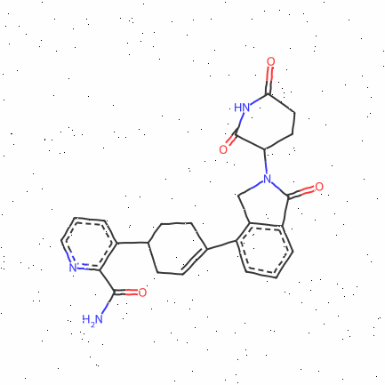 NC(=O)c1ncccc1C1CC=C(c2cccc3c2CN(C2CCC(=O)NC2=O)C3=O)CC1